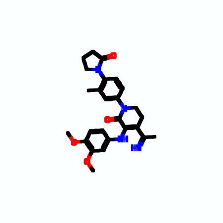 COc1ccc(NC2=C(C(C)=N)CCN(c3ccc(N4CCCC4=O)c(C)c3)C2=O)cc1OC